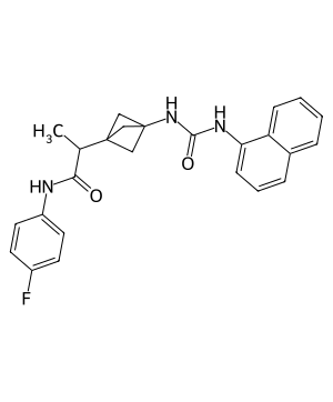 CC(C(=O)Nc1ccc(F)cc1)C12CC(NC(=O)Nc3cccc4ccccc34)(C1)C2